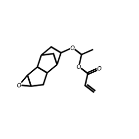 C=CC(=O)OC(C)OC1CC2CC1C1CC3OC3C21